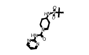 CC(C)(C)S(=O)(=O)NC1CCN(C(=O)Nc2ncccn2)CC1